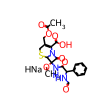 COC1(NC(=O)C(NC=O)c2ccccc2)C(=O)N2C(C(=O)O)=C(COC(C)=O)CSC21.[NaH]